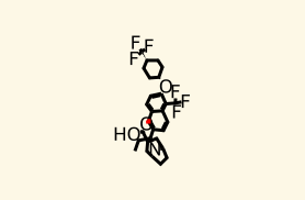 CCC(c1ccc2c(C(F)(F)F)c(O[C@H]3CC[C@@H](C(F)(F)F)CC3)ccc2c1)N1C2CCC1CC(C(=O)O)C2